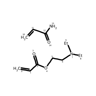 C=CC(=O)OCCN(CC)CC.C=CC(N)=O